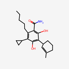 CCCCCc1c(C(N)=O)c(O)c(C2C=C(C)CCC2)c(O)c1C1CC1